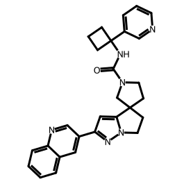 O=C(NC1(c2cccnc2)CCC1)N1CCC2(CCn3nc(-c4cnc5ccccc5c4)cc32)C1